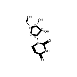 O=c1ccn([C@@H]2O[C@H](CO)[C@H](O)[C@@H]2O)c(=O)[nH]1